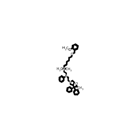 COc1ccccc1COCCCCCC[N+](C)(C)CCN(CCN1CCC(C(C(C)=O)(c2ccccc2)c2ccccc2)C1)c1ccccc1